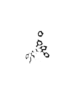 CCCC[C@H](C(N)=O)[C@@H](CC1CCCC1)C(=O)NC1N=C(c2ccccc2)c2ccccc2N(Cc2cccc(Oc3ccccc3)c2)C1=O